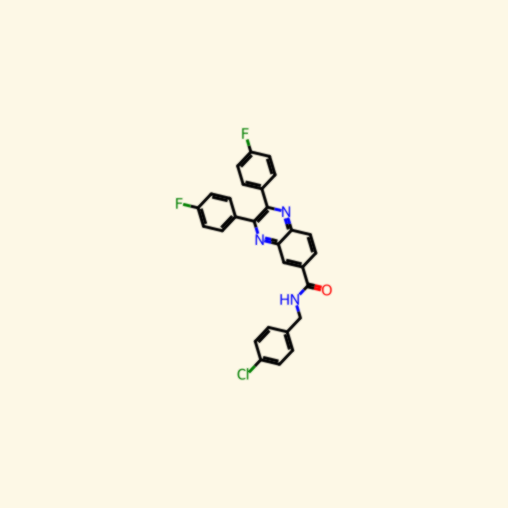 O=C(NCc1ccc(Cl)cc1)c1ccc2nc(-c3ccc(F)cc3)c(-c3ccc(F)cc3)nc2c1